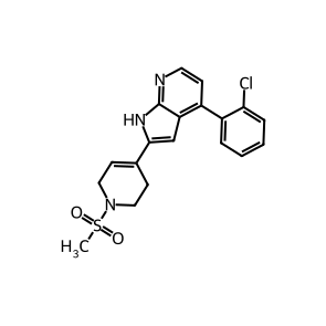 CS(=O)(=O)N1CC=C(c2cc3c(-c4ccccc4Cl)ccnc3[nH]2)CC1